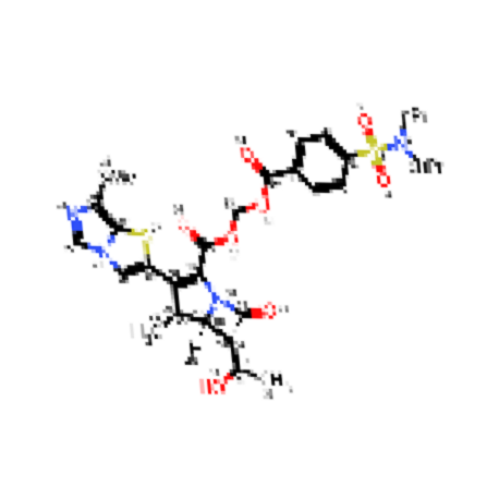 CCCN(CCC)S(=O)(=O)c1ccc(C(=O)OCOC(=O)C2=C(c3cn4cnc(SC)c4s3)[C@H](C)[C@@H]3[C@@H]([C@@H](C)O)C(=O)N23)cc1